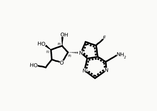 Nc1ncnc2c1c(F)cn2[C@@H]1OC(CO)[C@@H](O)[C@H]1O